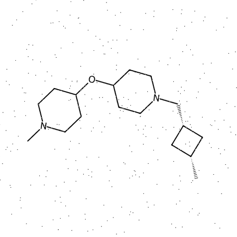 CN1CCC(OC2CCN(C[C@H]3C[C@@H](C)C3)CC2)CC1